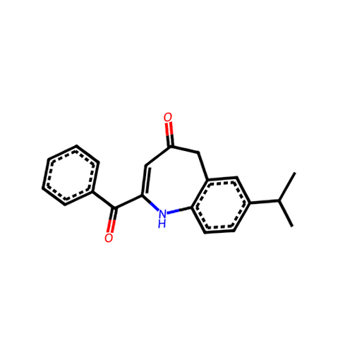 CC(C)c1ccc2c(c1)CC(=O)C=C(C(=O)c1ccccc1)N2